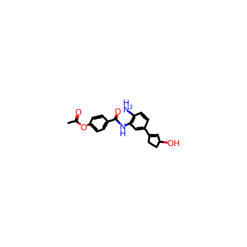 CC(=O)Oc1ccc(C(=O)Nc2cc(C3=CC(O)CC3)ccc2N)cc1